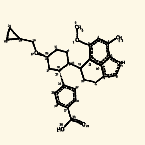 COc1cc(C)c2[nH]cc3c2c1C(N1CC[C@H](OCC2CC2)C[C@H]1c1ccc(C(=O)O)cc1)CC3